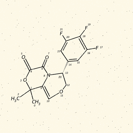 CC1(C)OC(=O)C(=O)N2C1=COC[C@H]2c1cc(F)c(F)c(F)c1